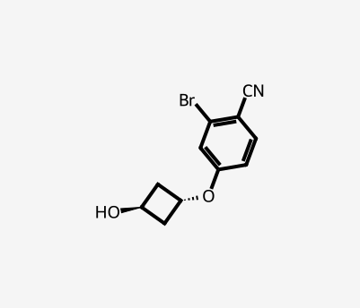 N#Cc1ccc(O[C@H]2C[C@H](O)C2)cc1Br